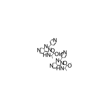 CC(Nc1nc(-c2ccncc2)nc2cnccc12)C(=O)O.COC(=O)C(C)Nc1nc(-c2ccncc2)nc2cnccc12